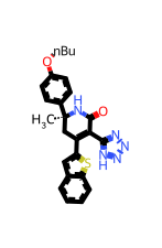 CCCCOc1ccc([C@]2(C)CC(c3cc4ccccc4s3)=C(c3nnn[nH]3)C(=O)N2)cc1